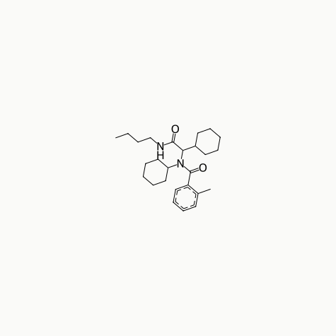 CCCCNC(=O)C(C1CCCCC1)N(C(=O)c1ccccc1C)C1CCCCC1